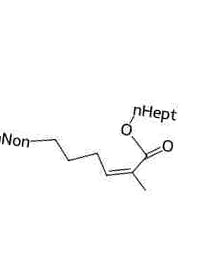 CCCCCCCCCCCCC=C(C)C(=O)OCCCCCCC